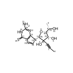 CC#CC1(O)[C@@H](O)[C@@H]([C@H](C)O)O[C@H]1n1cnc2c(=S)[nH]c(N)nc21